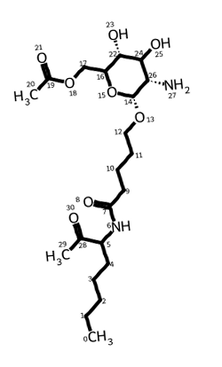 CCCCCC(NC(=O)CCCCO[C@@H]1OC(COC(C)=O)[C@H](O)C(O)[C@@H]1N)C(C)=O